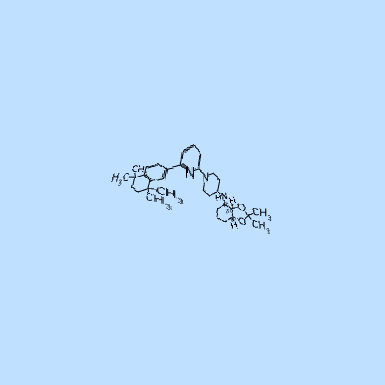 CC1(C)O[C@H]2[C@H](NC3CCN(c4cccc(-c5ccc6c(c5)C(C)(C)CCC6(C)C)n4)CC3)CCC[C@H]2O1